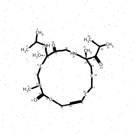 CC(C)N[C@]1(C)CCN(C)C(=O)OCC=CCCCC[C@@](C)(C(=O)C(C)C)NCC1=O